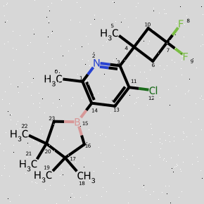 Cc1nc(C2(C)CC(F)(F)C2)c(Cl)cc1B1CC(C)(C)C(C)(C)C1